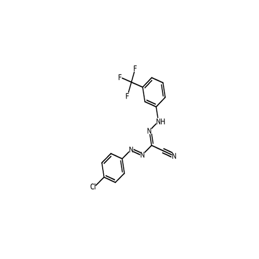 N#CC(N=Nc1ccc(Cl)cc1)=NNc1cccc(C(F)(F)F)c1